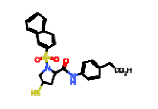 O=C(O)Cc1ccc(NC(=O)C2CC(S)CN2S(=O)(=O)c2ccc3ccccc3c2)cc1